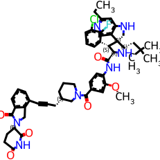 CCc1cc2c(cn1)[C@@]1(CN2)[C@H](CC(C)(C)C)N[C@@H](C(=O)Nc2ccc(C(=O)N3CCC[C@@H](CC#Cc4cccc5c4CN([C@@H]4CCC(=O)NC4=O)C5=O)C3)cc2OC)[C@@H]1c1cccc(Cl)c1F